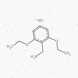 CCOc1cccc(OCC)c1CN.Cl